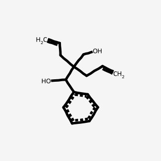 C=CCC(CO)(CC=C)C(O)c1ccccc1